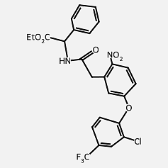 CCOC(=O)C(NC(=O)Cc1cc(Oc2ccc(C(F)(F)F)cc2Cl)ccc1[N+](=O)[O-])c1ccccc1